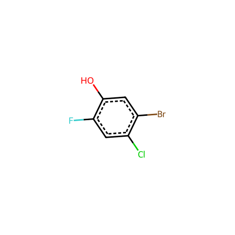 Oc1cc(Br)c(Cl)cc1F